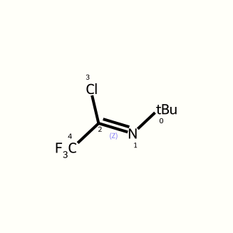 CC(C)(C)/N=C(\Cl)C(F)(F)F